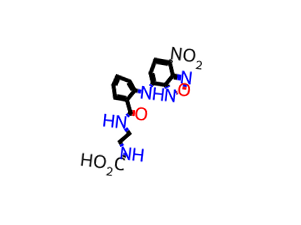 O=C(O)NCCNC(=O)c1ccccc1Nc1ccc([N+](=O)[O-])c2nonc12